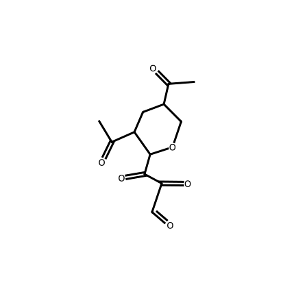 CC(=O)C1COC(C(=O)C(=O)C=O)C(C(C)=O)C1